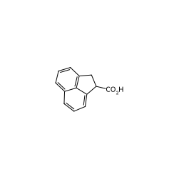 O=C(O)C1Cc2cccc3cccc1c23